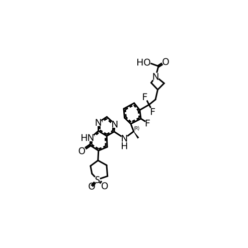 C[C@@H](Nc1ncnc2[nH]c(=O)c(C3CCS(=O)(=O)CC3)cc12)c1cccc(C(F)(F)CC2CN(C(=O)O)C2)c1F